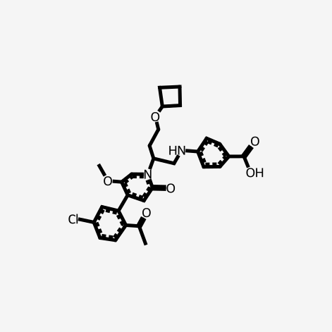 COc1cn(C(CCOC2CCC2)CNc2ccc(C(=O)O)cc2)c(=O)cc1-c1cc(Cl)ccc1C(C)=O